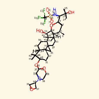 C[C@@H]1CC(C(NS(=O)(=O)C(F)(F)F)C(C)(C)O)OC2[C@H]1C1(C)CCC34CC35CCC(OC3CN(C6COC6)CCO3)C(C)(C)[C@@H]5CCC4C1(C)[C@H]2O